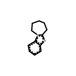 [CH]1CCCCn2c1nc1ccccc12